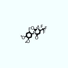 COc1cc(F)c(-n2c(=O)cc(C(F)(F)F)n(C)c2=O)cc1OC